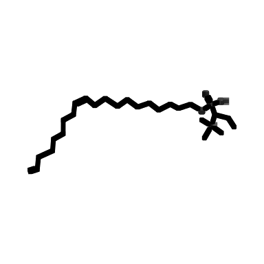 C=CCCCCCC/C=C\CCCCCCCCCCOP(=O)(O)C(CC)[N+](C)(C)C